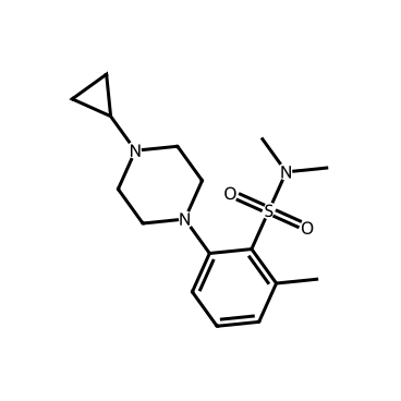 Cc1cccc(N2CCN(C3CC3)CC2)c1S(=O)(=O)N(C)C